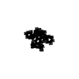 C[Si](C)(C)c1cc2c([Si](C)(C)c3ccccc3)c([Si](C)(C)C)c([Si](C)(C)C)c([Si](C)(C)c3ccccc3)c2cc1[Si](C)(C)C